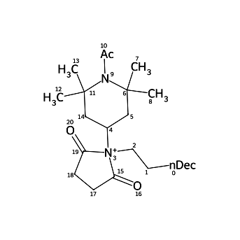 CCCCCCCCCCCC[N+]1(C2CC(C)(C)N(C(C)=O)C(C)(C)C2)C(=O)CCC1=O